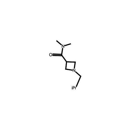 CC(C)CN1CC(C(=O)N(C)C)C1